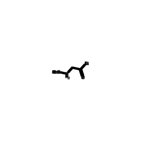 CCC(=O)C[SiH2]OC